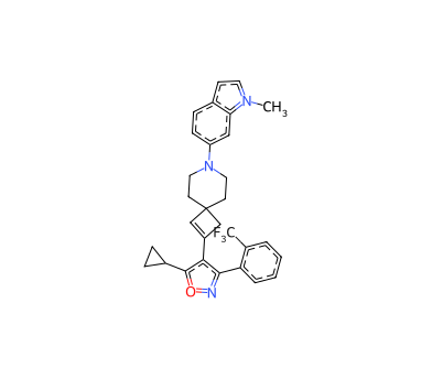 Cn1ccc2ccc(N3CCC4(C=C(c5c(-c6ccccc6C(F)(F)F)noc5C5CC5)C4)CC3)cc21